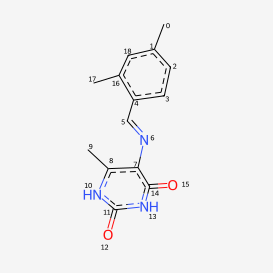 Cc1ccc(/C=N/c2c(C)[nH]c(=O)[nH]c2=O)c(C)c1